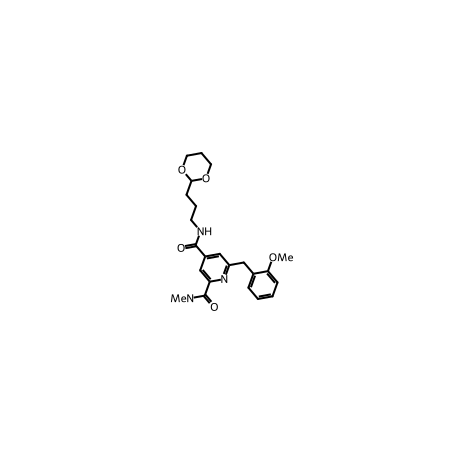 CNC(=O)c1cc(C(=O)NCCCC2OCCCO2)cc(Cc2ccccc2OC)n1